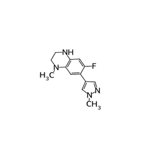 CN1CCNc2cc(F)c(-c3cnn(C)c3)cc21